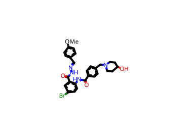 COc1ccc(C=NNC(=O)c2cc(Br)ccc2NC(=O)c2ccc(CN3CCC(O)CC3)cc2)cc1